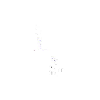 O=C(NC[C@H]1CC[C@H](Nc2ccc([N+](=O)[O-])c(C(F)(F)F)c2)CC1)N1CCN(c2ccc(Cl)cc2)CC1